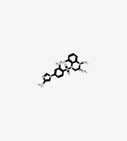 Cc1cn(-c2ccc(S(=O)(=O)N3C[C@H](C)N(C)c4cccc(C)c43)c(C)c2)cn1